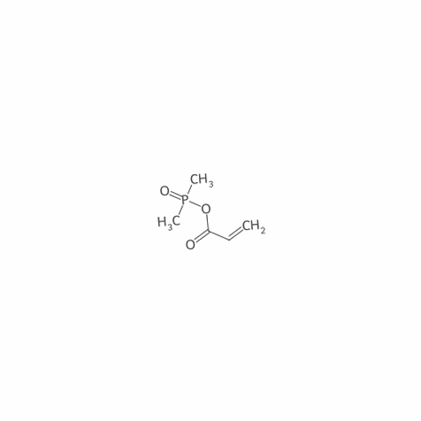 C=CC(=O)OP(C)(C)=O